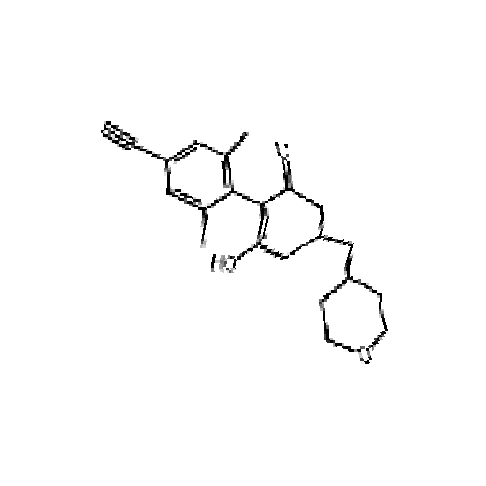 C#Cc1cc(C)c(C2=C(O)CC(CC3CCOCC3)CC2=O)c(C)c1